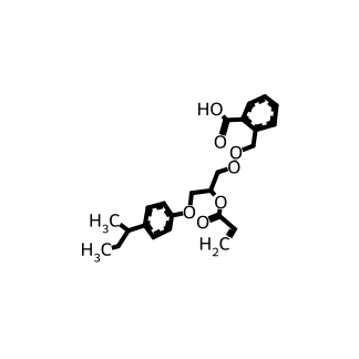 C=CC(=O)OC(COOCc1ccccc1C(=O)O)COc1ccc(C(C)CC)cc1